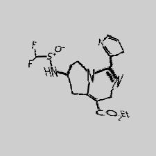 CCOC(=O)C1=C2CC(N[S+]([O-])C(F)F)CN2C(C2=NC=CC2)=NC1